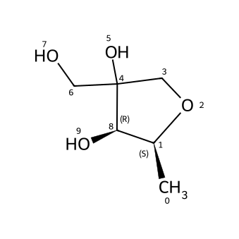 C[C@@H]1OCC(O)(CO)[C@@H]1O